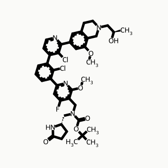 COc1cc(-c2nccc(-c3cccc(-c4cc(F)c(CN(C[C@@H]5CCC(=O)N5)C(=O)OC(C)(C)C)c(OC)n4)c3Cl)c2Cl)cc2c1CN(C[C@@H](C)O)CC2